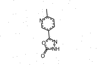 Cc1ccc(-c2n[nH]c(=O)o2)cn1